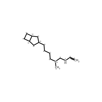 C=CNCN(C)CCCCC1CC2CCC2C1